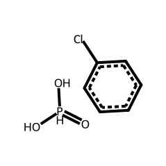 Clc1ccccc1.O=[PH](O)O